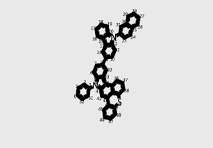 c1ccc(-n2c3ccc(-c4ccc5c(c4)c4ccccc4n5-c4ccc5ccccc5c4)cc3c3c4cccc5c4c(cc32)-c2ccccc2S5)cc1